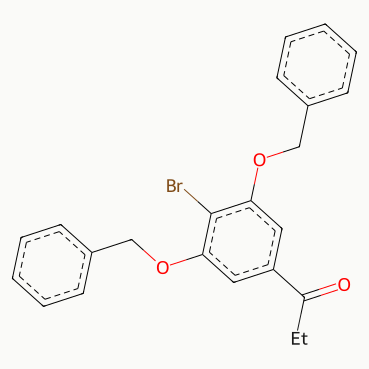 CCC(=O)c1cc(OCc2ccccc2)c(Br)c(OCc2ccccc2)c1